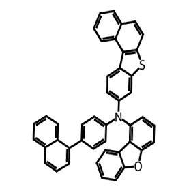 c1ccc2c(-c3ccc(N(c4ccc5c(c4)sc4ccc6ccccc6c45)c4cccc5oc6ccccc6c45)cc3)cccc2c1